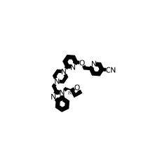 N#Cc1ccc(COc2cccc(N3CCN(Cc4nc5ccccc5n4C[C@@H]4CCO4)CC3)n2)nc1